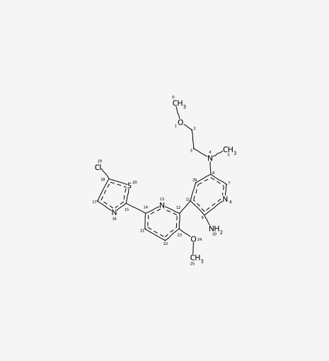 COCCN(C)c1cnc(N)c(-c2nc(-c3ncc(Cl)s3)ccc2OC)c1